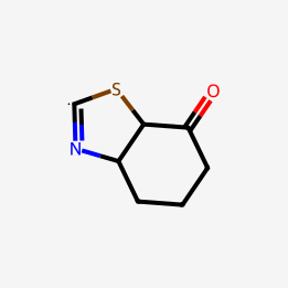 O=C1CCCC2N=[C]SC12